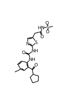 Cc1ccc(NC(=O)Nc2ncc(CC(=O)NS(C)(=O)=O)s2)c(C(=O)C2CCCC2)c1